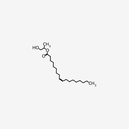 CCCCCCCC/C=C\CCCCCCCC(=O)OC(C)CO